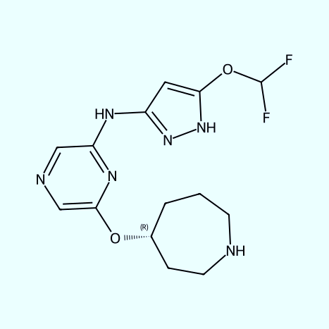 FC(F)Oc1cc(Nc2cncc(O[C@@H]3CCCNCC3)n2)n[nH]1